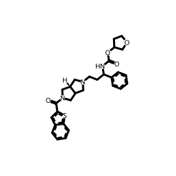 O=C(NC(CCN1CC2CN(C(=O)c3cc4ccccc4s3)C[C@@H]2C1)c1ccccc1)OC1CCOC1